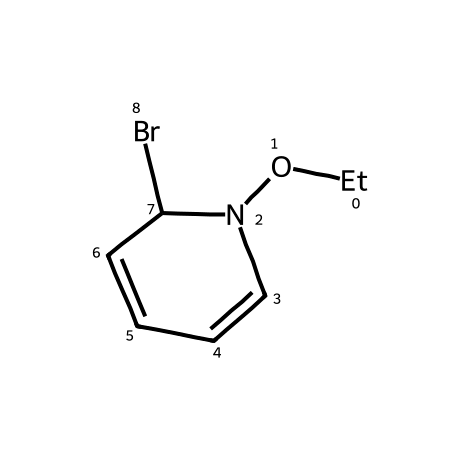 CCON1C=CC=CC1Br